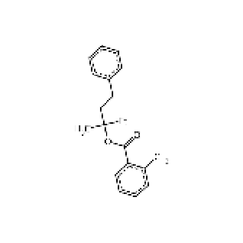 CCC(C)(CCc1ccccc1)OC(=O)c1ccccc1C(F)(F)F